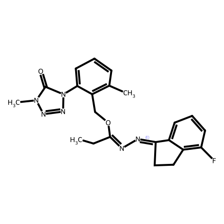 CCC(=N/N=C1\CCc2c(F)cccc21)OCc1c(C)cccc1-n1nnn(C)c1=O